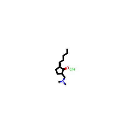 CCCCC=C1CCC(CN(C)C)C1=O.Cl